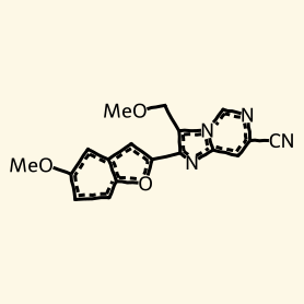 COCc1c(-c2cc3cc(OC)ccc3o2)nc2cc(C#N)ncn12